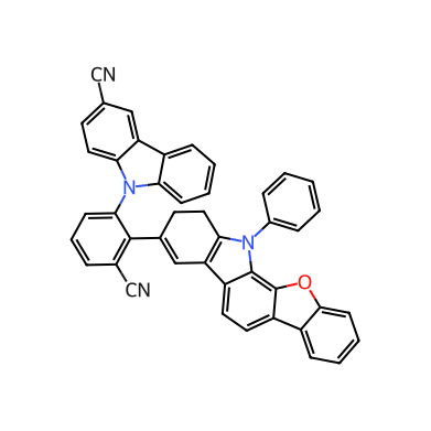 N#Cc1ccc2c(c1)c1ccccc1n2-c1cccc(C#N)c1C1=Cc2c(n(-c3ccccc3)c3c2ccc2c4ccccc4oc23)CC1